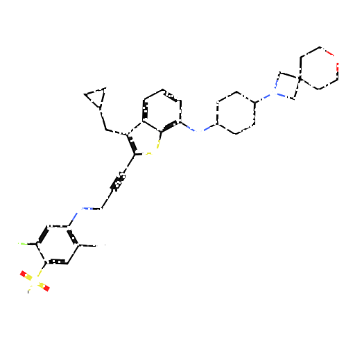 COc1cc(S(C)(=O)=O)c(F)cc1NCC#Cc1sc2c(NC3CCC(N4CC5(CCOCC5)C4)CC3)cccc2c1CC1CC1